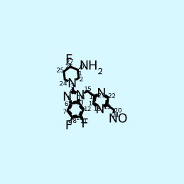 N[C@@H]1CN(c2nc3cc(F)c(F)cc3n2Cc2cnc(CN=O)cn2)CC[C@H]1F